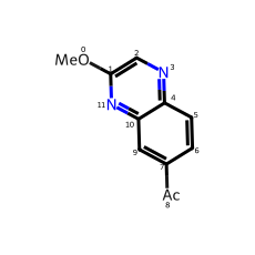 COc1cnc2ccc(C(C)=O)cc2n1